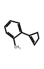 Cc1ccccc1C1=CCC1